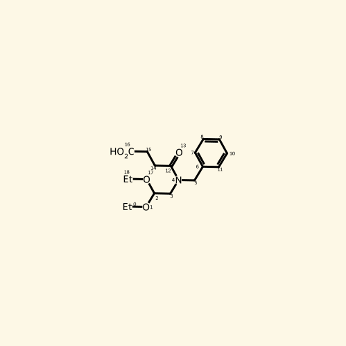 CCOC(CN(Cc1ccccc1)C(=O)CCC(=O)O)OCC